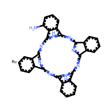 Nc1cccc2c3nc4nc(nc5[nH]c(nc6nc(nc([nH]3)c12)-c1ccccc1-6)c1ccccc51)-c1ccccc1-4.[Ru]